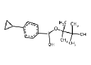 CC(C)(O)C(C)(C)OB(O)c1ccc(C2CC2)cc1